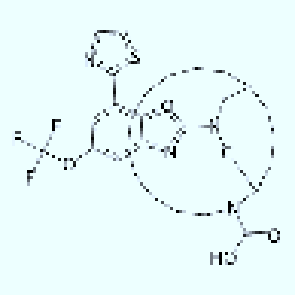 O=C(O)N1CCCCCCCCCCC2CCCC1CN(c1nc3cc(OC(F)(F)F)cc(-c4nccs4)c3o1)C2